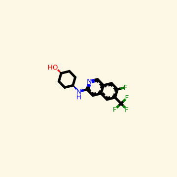 O[C@H]1CC[C@@H](Nc2cc3cc(C(F)(F)F)c(F)cc3cn2)CC1